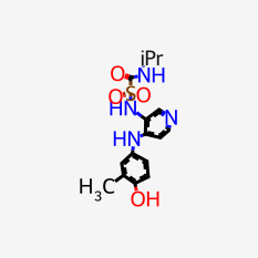 Cc1cc(Nc2ccncc2NS(=O)(=O)C(=O)NC(C)C)ccc1O